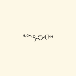 C=CCOC(=O)c1ccc(N2CCNCC2)cc1